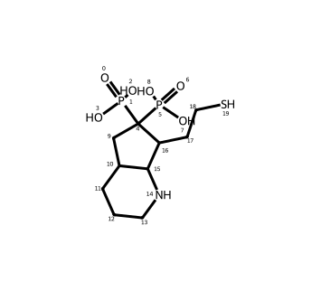 O=P(O)(O)C1(P(=O)(O)O)CC2CCCNC2C1CCS